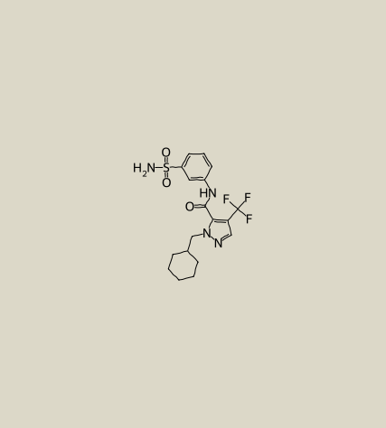 NS(=O)(=O)c1cccc(NC(=O)c2c(C(F)(F)F)cnn2CC2CCCCC2)c1